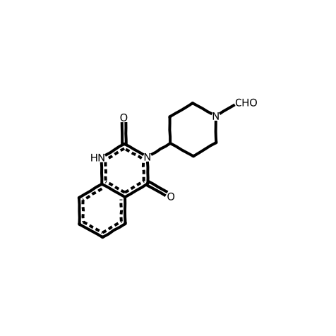 O=CN1CCC(n2c(=O)[nH]c3ccccc3c2=O)CC1